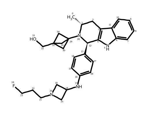 C[C@@H]1Cc2c([nH]c3ccccc23)[C@@H](c2ccc(NC3CN(CCCF)C3)cc2)N1C12CC(CO)(C1)C2